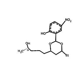 CCC1CC(CCC[C@H](C)O)OC(c2cc([N+](=O)[O-])ccc2O)O1